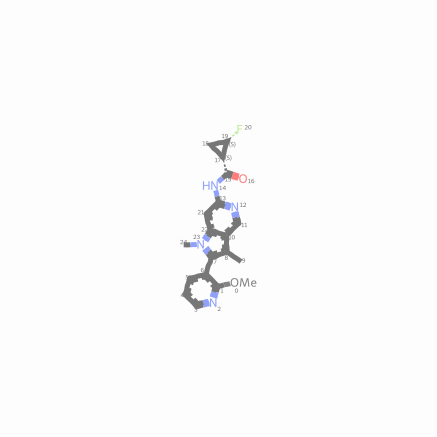 COc1ncccc1-c1c(C)c2cnc(NC(=O)[C@@H]3C[C@@H]3F)cc2n1C